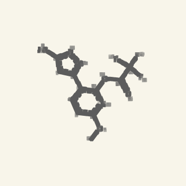 COc1ccc(-c2cc(O)no2)c(OC(=O)C(F)(F)F)n1